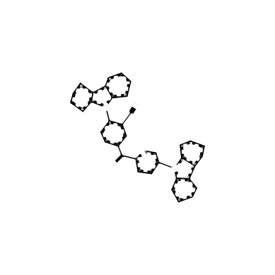 N#Cc1cc(C(=O)c2ccc(-n3c4ccccc4c4ccccc43)cn2)ccc1-n1c2ccccc2c2ccccc21